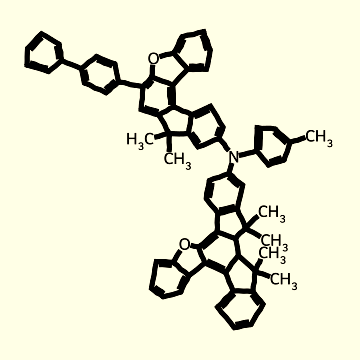 Cc1ccc(N(c2ccc3c(c2)C(C)(C)c2cc(-c4ccc(-c5ccccc5)cc4)c4oc5ccccc5c4c2-3)c2ccc3c(c2)C(C)(C)C2C3=c3oc4ccccc4c3=C3c4ccccc4C(C)(C)C32)cc1